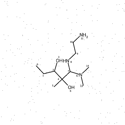 CCC(O)C(C)(O)C(NCCN)N(C)C